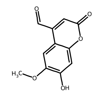 COc1cc2c(C=O)cc(=O)oc2cc1O